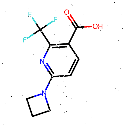 O=C(O)c1ccc(N2CCC2)nc1C(F)(F)F